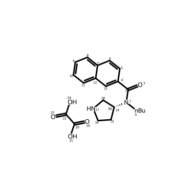 CCCCN(C(=O)c1ccc2ccccc2c1)[C@@H]1CCNC1.O=C(O)C(=O)O